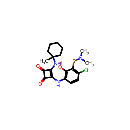 CN(C)Sc1c(Cl)ccc(Nc2c(NC3(C)CCCCC3)c(=O)c2=O)c1O